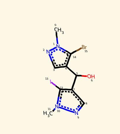 Cn1ncc(C(O)c2cnn(C)c2I)c1Br